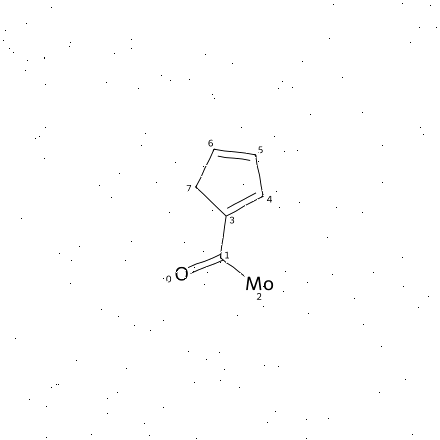 O=[C]([Mo])C1=CC=CC1